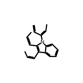 C=C/C(=C\C)n1c(/C=C\C)c(/C=C\C)c2ccccc21